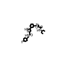 CCC(CC)NC(=O)c1cnc(-c2cccc(-c3cc(C(=O)NCc4ccc(F)cc4)n[nH]3)c2)o1